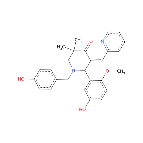 COc1ccc(O)cc1C1C(=Cc2ccccn2)C(=O)C(C)(C)CN1Cc1ccc(O)cc1